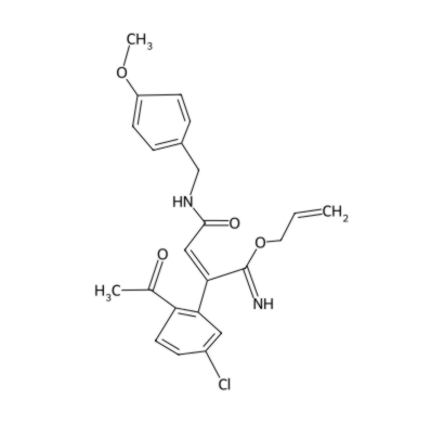 C=CCOC(=N)/C(=C\C(=O)NCc1ccc(OC)cc1)c1cc(Cl)ccc1C(C)=O